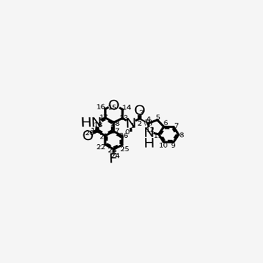 CN(C(=O)[C@H]1Cc2ccccc2N1)C1COCc2[nH]c(=O)c3cc(F)ccc3c21